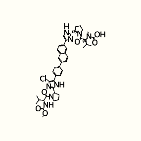 COC(=O)NC(C(=O)N1CCCC1c1nc(Cl)c(-c2ccc(-c3ccc4cc(-c5c[nH]c([C@@H]6CCCN6C(=O)[C@H](C(C)C)N(C)C(=O)O)n5)ccc4c3)cc2)[nH]1)C(C)C